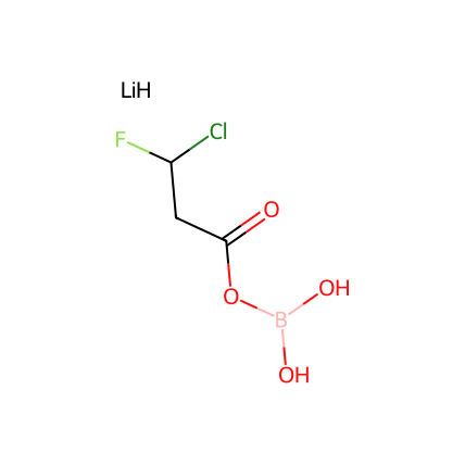 O=C(CC(F)Cl)OB(O)O.[LiH]